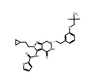 CC(F)(F)COc1cccc(CC[C@H]2Cc3nn(CCC4CC4)c(NC(=O)c4ccco4)c3C(=O)N2)c1